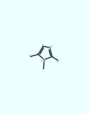 [CH2]c1ncc(C)n1C